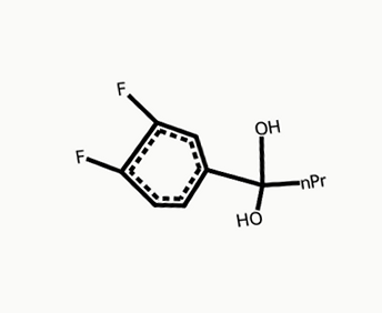 [CH2]CCC(O)(O)c1ccc(F)c(F)c1